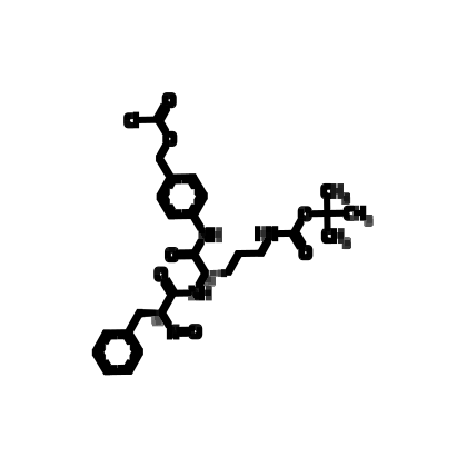 CC(C)(C)OC(=O)NCCC[C@H](NC(=O)[C@H](Cc1ccccc1)N=O)C(=O)Nc1ccc(COC(=O)Cl)cc1